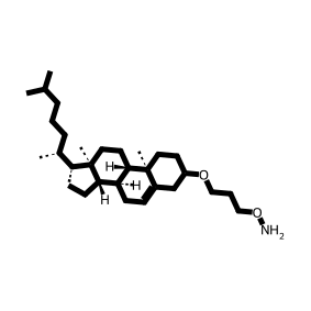 CC(C)CCC[C@@H](C)[C@H]1CC[C@H]2[C@@H]3CC=C4CC(OCCCON)CC[C@]4(C)[C@H]3CC[C@]12C